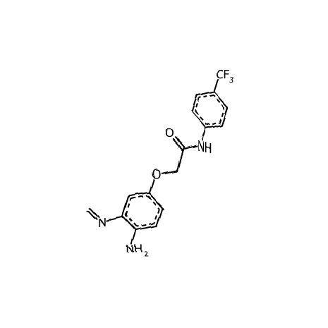 C=Nc1cc(OCC(=O)Nc2ccc(C(F)(F)F)cc2)ccc1N